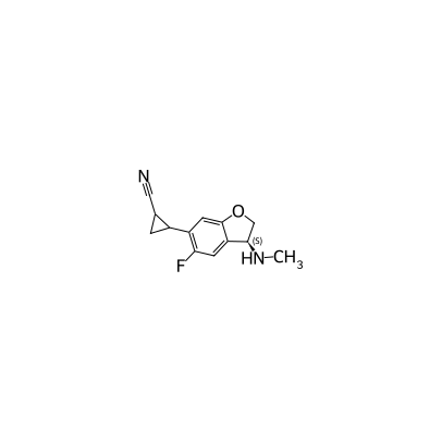 CN[C@@H]1COc2cc(C3CC3C#N)c(F)cc21